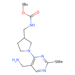 CSc1ncc(CN)c(N2CCC(CNC(=O)OC(C)(C)C)C2)n1